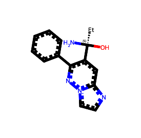 CC[C@](N)(O)c1cc2nccn2nc1-c1ccccc1